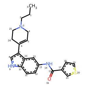 CCCN1CC=C(c2c[nH]c3ccc(NC(=O)c4ccsc4)cc23)CC1